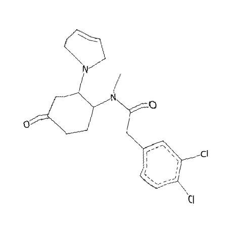 CN(C(=O)Cc1ccc(Cl)c(Cl)c1)C1CCC(=O)CC1N1CC=CC1